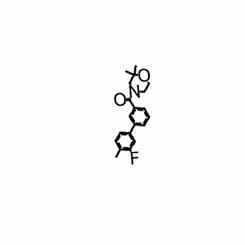 Cc1ccc(-c2cccc(C(=O)N3CCOC(C)(C)C3)c2)cc1F